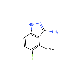 COc1c(F)ccc2[nH]nc(N)c12